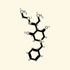 CCON=C(CC)C1C(=O)CN(Cc2ccccc2)CC1=O